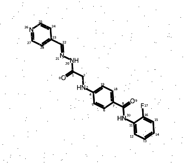 O=C(CNc1ccc(C(=O)Nc2ccccc2F)cc1)N/N=C/c1ccncc1